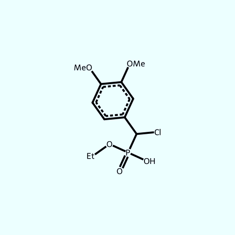 CCOP(=O)(O)C(Cl)c1ccc(OC)c(OC)c1